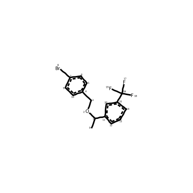 CC(OCc1ccc(Br)cc1)c1cccc(C(F)(F)F)c1